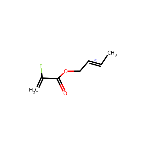 C=C(F)C(=O)OC/C=C/C